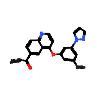 COC(=O)c1ccc2nccc(Oc3cc(OC)cc(-n4cccn4)c3)c2c1